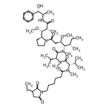 CC[C@H](C)[C@@H]([C@@H](CC(=O)N1CCC[C@H]1[C@H](OC)[C@@H](C)C(=O)N[C@H](C)[C@@H](O)c1ccccc1)OC)N(C)C(=O)[C@H](C(C)C)N(C)C(=O)[C@H](C(C)C)N(C)C(=O)CCCCCN1C(=O)CC(SC)C1=O